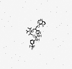 CC(C)[Si](OCC(COc1ncnc2ccsc12)c1cnc(NC(=O)Nc2cccc(C(F)(F)F)c2)s1)(C(C)C)C(C)C